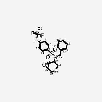 O=S(=O)(c1ccc(OC(F)(F)F)cc1)N(Cc1ccccc1)C1COCC2OC21